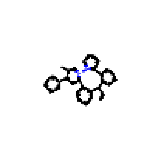 C=CC1c2ccccc2-c2cccc[n+]2-[n+]2cc(C)c(-c3ccccc3)cc2-c2ccccc21